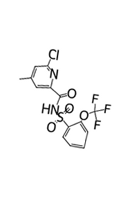 Cc1cc(Cl)nc(C(=O)NS(=O)(=O)c2ccccc2OC(F)(F)F)c1